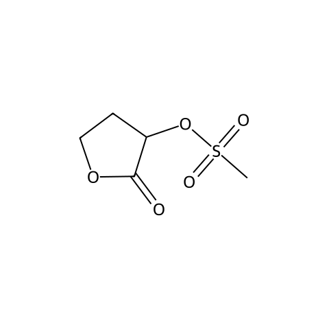 CS(=O)(=O)OC1CCOC1=O